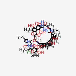 CCC[C@@H]1C[C@@H](C(=O)N[C@@H]([C@H]2O[C@H](SC)[C@H](O)[C@@H](O)[C@H]2O)[C@H](C)Cl)N(C)C1.CO[C@H]1/C=C/O[C@@]2(C)Oc3c(C)c(O)c4c(O)c(c(/C=N/N5CCN(C)CC5)c(O)c4c3C2=O)NC(=O)/C(C)=C\C=C\[C@H](C)[C@H](O)[C@@H](C)[C@@H](O)[C@@H](C)[C@H](OC(C)=O)[C@@H]1C